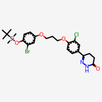 CC(C)(C)[Si](C)(C)Oc1ccc(OCCCOc2ccc(C3=NNC(=O)CC3)cc2Cl)cc1Br